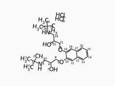 CC(C)(C)NCC(O)COc1cc2ccccc2cc1OCC(O)CNC(C)(C)C.Cl.Cl